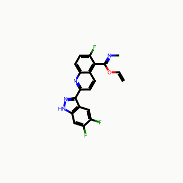 C=CO/C(=N\C)c1c(F)ccc2nc(-c3n[nH]c4cc(F)c(F)cc34)ccc12